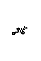 CC(Br)CC(C)CC(C)CC(C[C@H](C[C@H](C)c1ccccc1)c1ccccc1)c1ccccc1